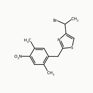 Cc1cc([N+](=O)[O-])c(C)cc1Cc1nc(C(C)Br)cs1